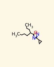 CCCCC(CCC)c1nc(C2CC2)no1